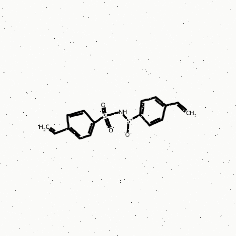 C=Cc1ccc([S+]([O-])NS(=O)(=O)c2ccc(C=C)cc2)cc1